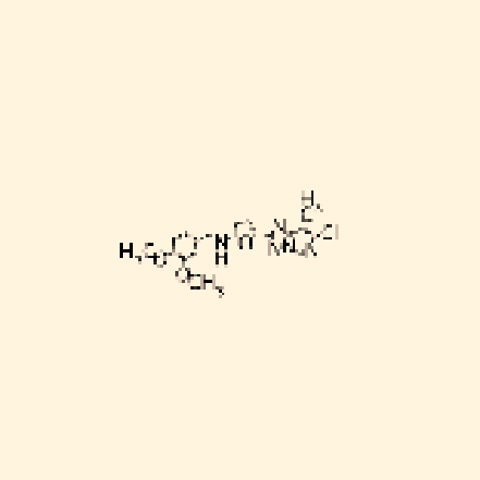 COc1ccc(CNc2ccc(-c3nc4c(C)c(Cl)ncn4n3)o2)cc1OC